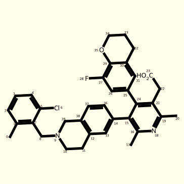 Cc1cccc(Cl)c1CN1CCc2cc(-c3c(C)nc(C)c(CC(=O)O)c3-c3cc(F)c4c(c3)CCCO4)ccc2C1